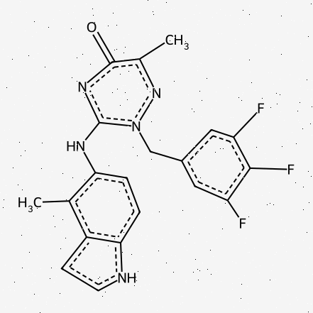 Cc1nn(Cc2cc(F)c(F)c(F)c2)c(Nc2ccc3[nH]ccc3c2C)nc1=O